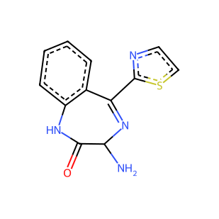 NC1N=C(c2nccs2)c2ccccc2NC1=O